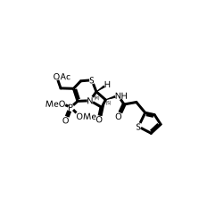 COP(=O)(OC)C1=C(COC(C)=O)CS[C@@H]2[C@@H](NC(=O)Cc3cccs3)C(=O)N12